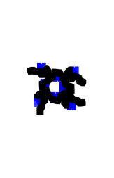 C=CCc1cc(C2=C3C=CC(=N3)C(c3ccnc(CC=C)c3)=C3C=CC(=N3)C(c3ccnc(CC=C)c3)=C3C=CC(=N3)C(c3ccnc(CC=C)c3)=C3C=CC2=N3)ccn1